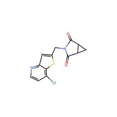 O=C1C2CC2C(=O)N1Cc1cc2nccc(Cl)c2s1